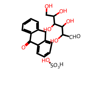 O=C1c2ccccc2Cc2ccccc21.O=CC(O)C(O)C(O)C(O)CO.O=S(=O)(O)O